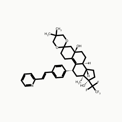 CC1(C)COC2(CCC3=C4[C@@H](CC[C@@]3(O)C2)[C@@H]2CC[C@@](O)(C(F)(F)C(F)(F)F)[C@@]2(C)C[C@@H]4c2ccc(/C=C/c3ccccn3)cc2)OC1